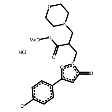 COOC(=O)C(CN1CCOCC1)Cn1oc(-c2ccc(Cl)cc2)cc1=O.Cl